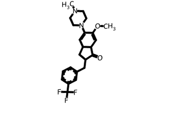 COC1=CC2C(=O)C(Cc3cccc(C(F)(F)F)c3)CC2C=C1N1CCN(C)CC1